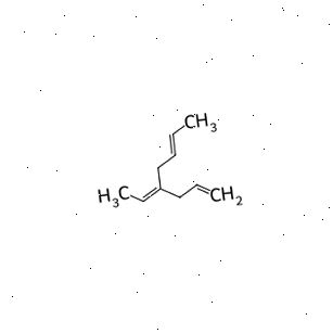 C=CC/C(=C/C)C/C=C/C